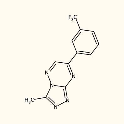 Cc1nnc2nc(-c3cccc(C(F)(F)F)c3)cnn12